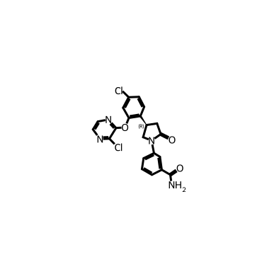 NC(=O)c1cccc(N2C[C@@H](c3ccc(Cl)cc3Oc3nccnc3Cl)CC2=O)c1